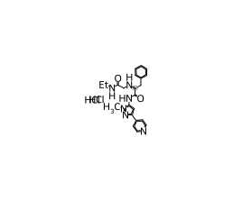 CCNC(=O)CN[C@@H](Cc1ccccc1)C(=O)Nc1cc(-c2ccncc2)nn1C.Cl.Cl